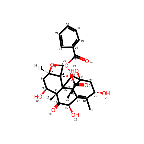 CC(=O)O[C@@]12CO[C@@H]1C[C@H](O)[C@@]1(C)C(=O)[C@H](O)C3=C(C)[C@@H](O)C[C@@]4(O)[C@@H](OC(=O)c5ccccc5)C21[C@@]34C